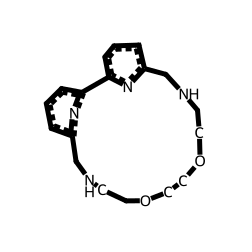 c1cc2nc(c1)-c1cccc(n1)CNCCOCCOCCNC2